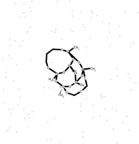 C[Si]12CCCCO[Si]3(C)O[Si](C)(O1)O[Si]1(C)O[Si](C)(CCCCO[Si@@](C)(O3)O1)O2